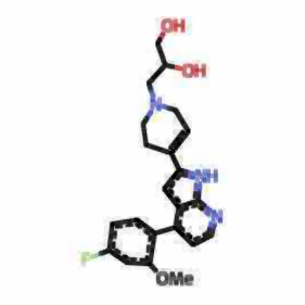 COc1cc(F)ccc1-c1ccnc2[nH]c(C3=CCN(CC(O)CO)CC3)cc12